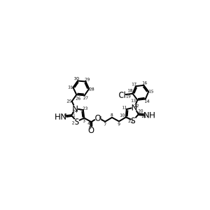 N=c1sc(C(=O)OCCCc2cn(-c3ccccc3Cl)c(=N)s2)cn1Cc1ccccc1